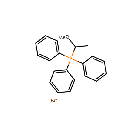 COC(C)[P+](c1ccccc1)(c1ccccc1)c1ccccc1.[Br-]